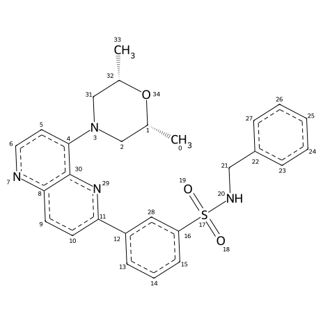 C[C@@H]1CN(c2ccnc3ccc(-c4cccc(S(=O)(=O)NCc5ccccc5)c4)nc23)C[C@H](C)O1